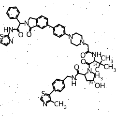 Cc1ncsc1-c1ccc(CNC(=O)C2C[C@@H](O)CN2C(=O)[C@@H](NC(=O)CN2CCN(c3ccc(-c4ccc5c(c4)C(=O)N(C(C(=O)Nc4nccs4)c4ccccc4)C5)cc3)CC2)C(C)(C)C)cc1